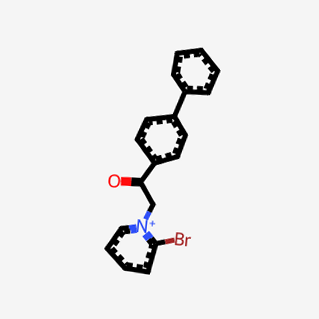 O=C(C[n+]1ccccc1Br)c1ccc(-c2ccccc2)cc1